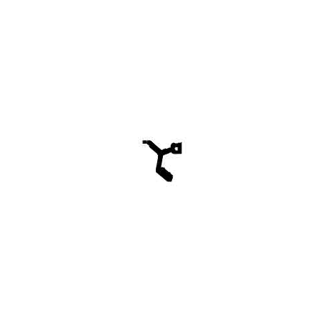 [CH2]C(Cl)C=C